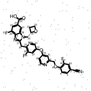 N#Cc1ccc(OCc2cc(Oc3cnc(Cc4nc5c(F)cc(C(=O)O)cc5n4C[C@@H]4CCO4)c(F)c3)ccn2)c(F)c1